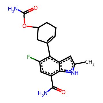 Cc1cc2c(C3=CCCC(OC(N)=O)C3)c(F)cc(C(N)=O)c2[nH]1